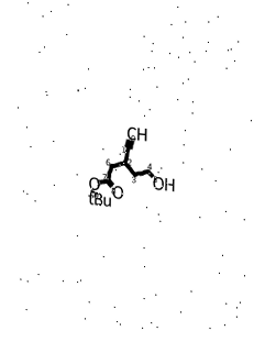 C#CC(CCO)CC(=O)OC(C)(C)C